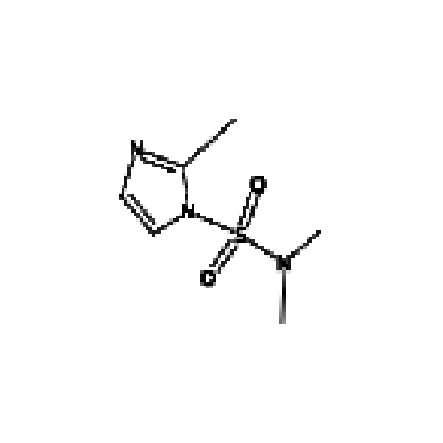 Cc1nccn1S(=O)(=O)N(C)C